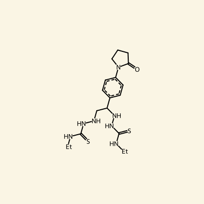 CCNC(=S)NNCC(NNC(=S)NCC)c1ccc(N2CCCC2=O)cc1